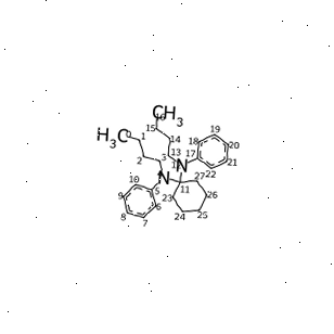 CCCCN(c1ccccc1)C1(N(CCCC)c2ccccc2)CCCCC1